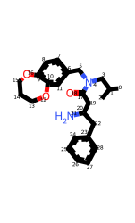 CC(C)CN(Cc1ccc2c(c1)OCCCO2)C(=O)CC(N)Cc1ccccc1